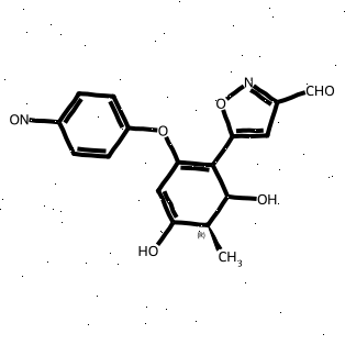 C[C@H]1C(O)=CC(Oc2ccc(N=O)cc2)=C(c2cc(C=O)no2)C1O